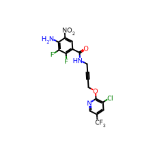 Nc1c([N+](=O)[O-])cc(C(=O)NCC#CCOc2ncc(C(F)(F)F)cc2Cl)c(F)c1F